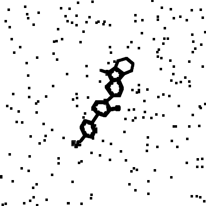 Cn1c2c(c3ccc(-n4ccc(-c5ccc(C(F)(F)F)cn5)cc4=O)cc31)CCCC2